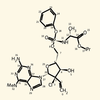 C=C[C@@]1(Cl)[C@H](O)[C@@H](CO[P@@](=O)(N[C@H](C)C(=O)OC(C)C)Oc2ccccc2)O[C@H]1n1cnc2c(NC)nc(N)nc21